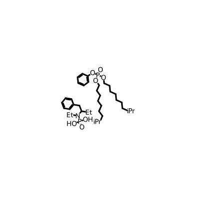 CC(C)CCCCCCCOP(=O)(OCCCCCCCC(C)C)Oc1ccccc1.CCC(Cc1ccccc1)N(CC)P(=O)(O)O